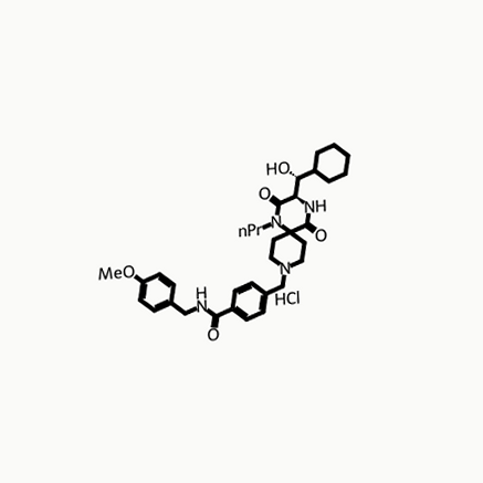 CCCN1C(=O)[C@@H]([C@H](O)C2CCCCC2)NC(=O)C12CCN(Cc1ccc(C(=O)NCc3ccc(OC)cc3)cc1)CC2.Cl